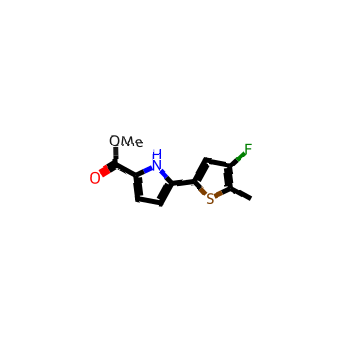 COC(=O)c1ccc(-c2cc(F)c(C)s2)[nH]1